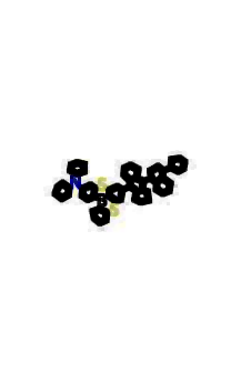 c1ccc(-c2ccc(-c3c4ccccc4c(-c4cc5c6c(c4)Sc4cc(N(c7ccccc7)c7ccccc7)ccc4B6c4ccccc4S5)c4ccccc34)c3ccccc23)cc1